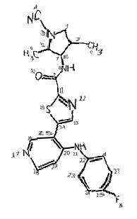 CC1CN(C#N)C(C)[C@@H]1NC(=O)c1ncc(-c2cnccc2Nc2ccc(F)cc2)s1